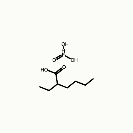 CCCCC(CC)C(=O)O.O=[PH](O)O